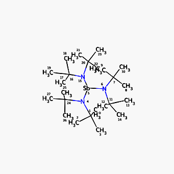 CC(C)(C)[N]([Sb]([N](C(C)(C)C)C(C)(C)C)[N](C(C)(C)C)C(C)(C)C)C(C)(C)C